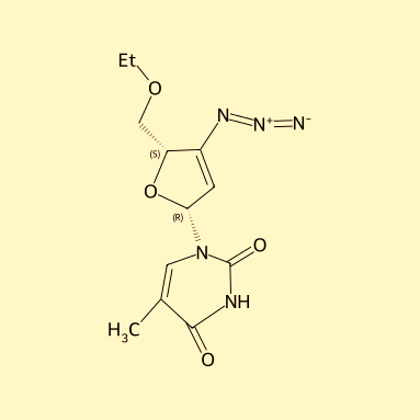 CCOC[C@H]1O[C@@H](n2cc(C)c(=O)[nH]c2=O)C=C1N=[N+]=[N-]